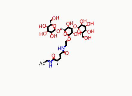 CC(=O)CNC(=O)[C@@H](C)CCC(=O)NCCO[C@H]1O[C@H](CO[C@H]2O[C@H](CO)[C@@H](O)[C@H](O)[C@@H]2O)[C@@H](O)[C@H](O[C@H]2O[C@H](CO)[C@@H](O)[C@H](O)[C@@H]2O)[C@@H]1O